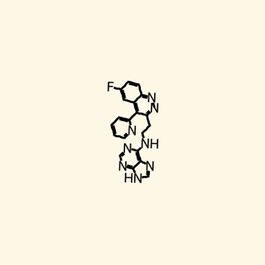 Fc1ccc2nnc(CCNc3ncnc4[nH]cnc34)c(-c3ccccn3)c2c1